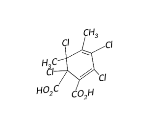 CC1=C(Cl)C(Cl)=C(C(=O)O)C(Cl)(C(=O)O)C1(C)Cl